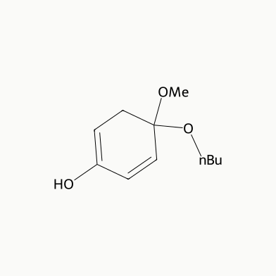 CCCCOC1(OC)C=CC(O)=CC1